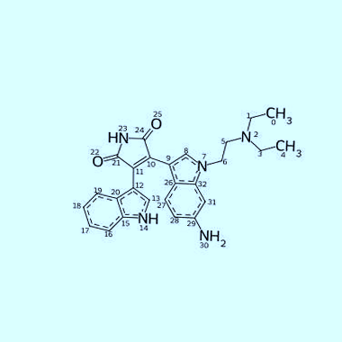 CCN(CC)CCn1cc(C2=C(c3c[nH]c4ccccc34)C(=O)NC2=O)c2ccc(N)cc21